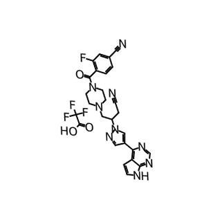 N#CCC(CN1CCN(C(=O)c2ccc(C#N)cc2F)CC1)n1cc(-c2ncnc3[nH]ccc23)cn1.O=C(O)C(F)(F)F